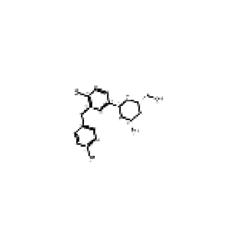 OC[C@@H]1C[C@H](O)C[C@@H](c2ccc(Cl)c(Cc3ccc(O)cc3)c2)O1